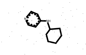 c1cc(NC2CCCCC2)ccn1